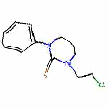 S=C1N(CCCl)CCN1c1ccccc1